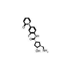 NC[C@@H]1C[C@@H](C(=O)Nc2ccc(-n3ccccc3=O)cc2F)C[C@H]1O